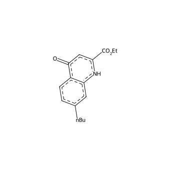 CCCCc1ccc2c(=O)cc(C(=O)OCC)[nH]c2c1